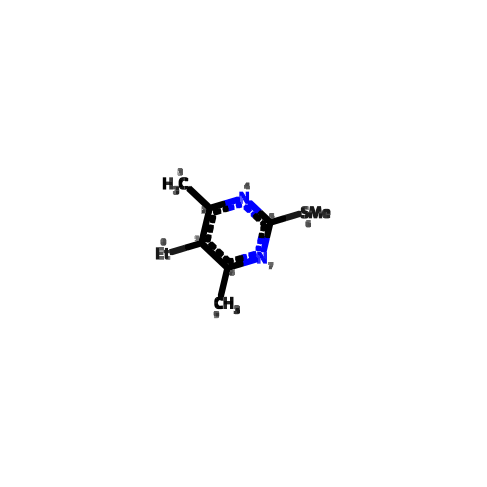 CCc1c(C)nc(SC)nc1C